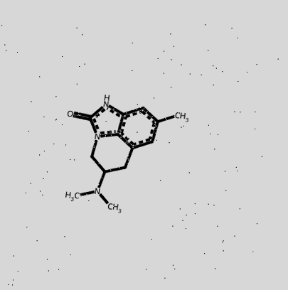 Cc1cc2c3c(c1)[nH]c(=O)n3CC(N(C)C)C2